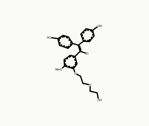 CCC(=C(c1ccc(O)cc1)c1ccc(O)cc1)c1ccc(OC)c(OCCOCCO)c1